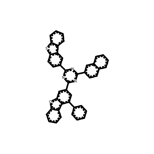 c1ccc(-c2cc(-c3nc(-c4ccc5ccccc5c4)nc(-c4ccc5sc6ccccc6c5c4)n3)cc3oc4ccccc4c23)cc1